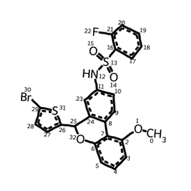 COc1cccc2c1-c1ccc(NS(=O)(=O)c3ccccc3F)cc1C(c1ccc(Br)s1)O2